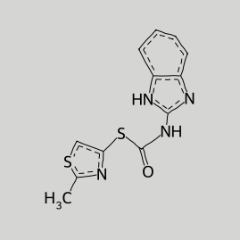 Cc1nc(SC(=O)Nc2nc3ccccc3[nH]2)cs1